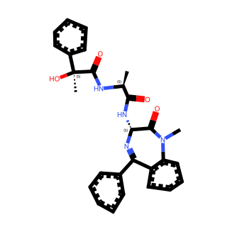 C[C@H](NC(=O)[C@@](C)(O)c1ccccc1)C(=O)N[C@H]1N=C(c2ccccc2)c2ccccc2N(C)C1=O